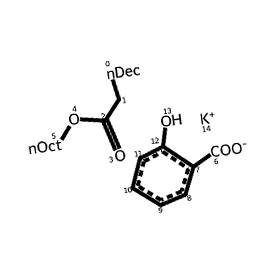 CCCCCCCCCCCC(=O)OCCCCCCCC.O=C([O-])c1ccccc1O.[K+]